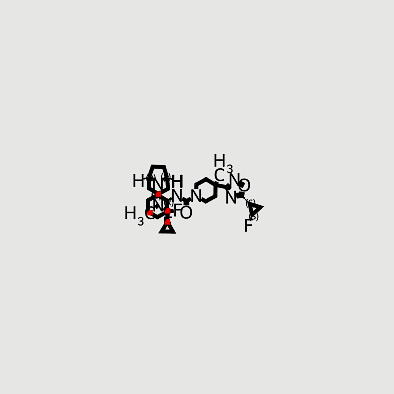 CN(CC1CC1)[C@@H]1C[C@H]2CC[C@@H](C1)N2[C@H]1CCCC(F)(F)[C@@H]1NC(=O)N1CCC(C)(c2noc([C@@H]3C[C@@H]3F)n2)CC1